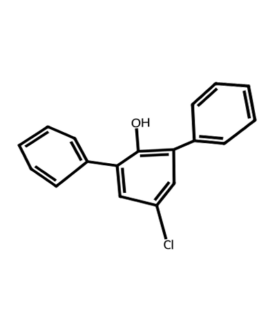 Oc1c(-c2ccccc2)cc(Cl)cc1-c1ccccc1